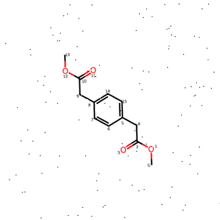 COC(=O)Cc1ccc(CC(=O)OC)cc1